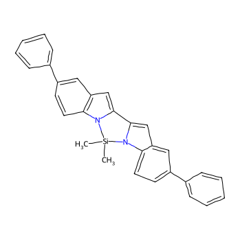 C[Si]1(C)n2c(cc3cc(-c4ccccc4)ccc32)-c2cc3cc(-c4ccccc4)ccc3n21